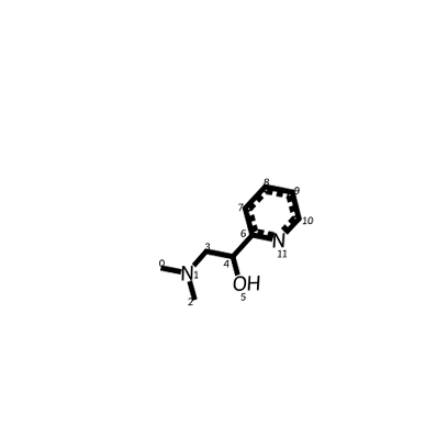 CN(C)CC(O)c1ccccn1